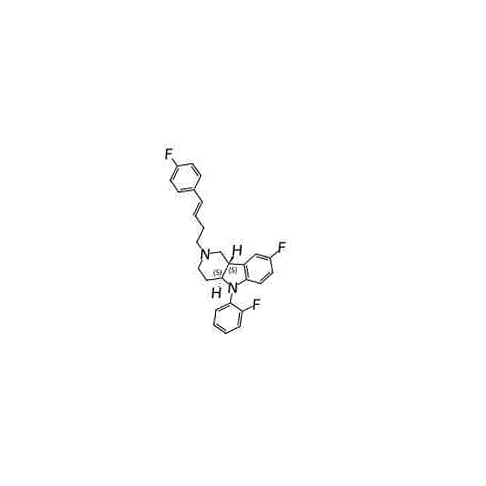 Fc1ccc(C=CCCN2CC[C@H]3[C@H](C2)c2cc(F)ccc2N3c2ccccc2F)cc1